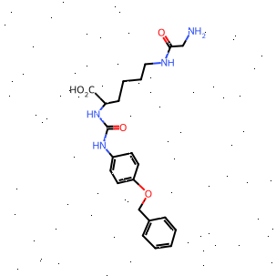 NCC(=O)NCCCCC(NC(=O)Nc1ccc(OCc2ccccc2)cc1)C(=O)O